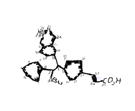 CCCCC(c1ccccc1)C(c1ccc(/C=C/C(=O)O)cc1)c1ccc2[nH]ncc2c1